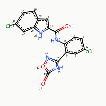 O=C(Nc1ccc(Cl)cc1-c1noc(=O)[nH]1)c1cc2ccc(Cl)cc2[nH]1